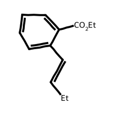 CCC=Cc1ccccc1C(=O)OCC